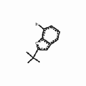 CC(C)(C)c1cc2cccc(Br)c2o1